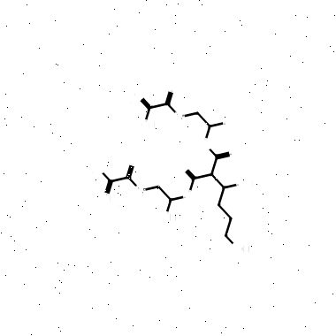 C=C(C)C(=O)NCC(C)OC(=O)C(C(=O)OC(C)CNC(=O)C(=C)C)C(O)CCCO